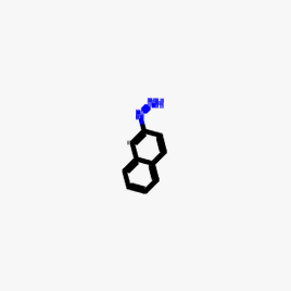 N=Nc1[c]c2ccccc2cc1